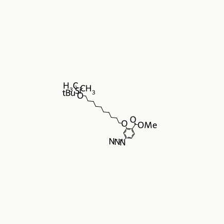 COC(=O)c1ccc(N=[N+]=[N-])cc1OCCCCCCCCCCO[Si](C)(C)C(C)(C)C